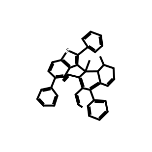 C=CC1=C(/C=C\C)C(c2ccccc2)=C2C=CCC(C)C2C1(C)c1c(-c2ccccc2)sc2ccc(-c3ccccc3)cc12